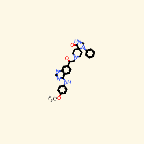 O=C(CN1CCC2(CC1)C(=O)NCN2c1ccccc1)c1ccc2c(Nc3ccc(OC(F)(F)F)cc3)ncnc2c1